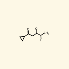 CC(F)C(=O)CC(=O)C1CC1